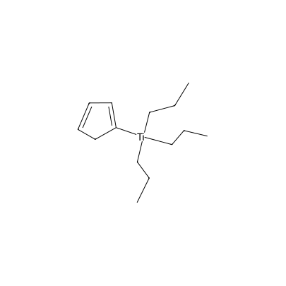 CC[CH2][Ti]([CH2]CC)([CH2]CC)[C]1=CC=CC1